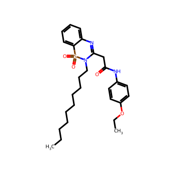 CCCCCCCCCCN1C(CC(=O)Nc2ccc(OCC)cc2)=Nc2ccccc2S1(=O)=O